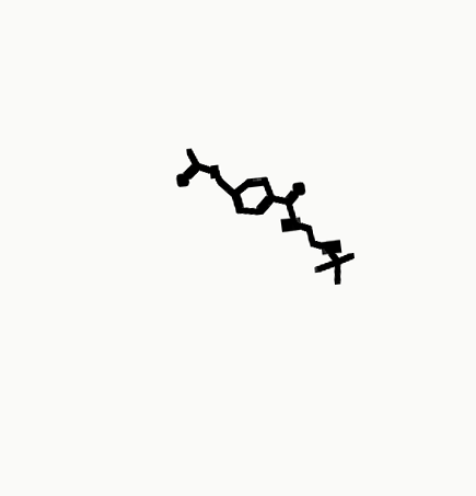 CC(=O)SCc1ccc(C(=O)NCCNC(C)(C)C)cc1